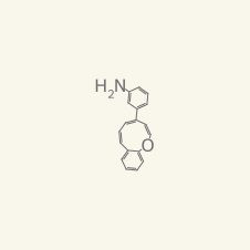 Nc1cccc(-c2cccc3ccccc3occ2)c1